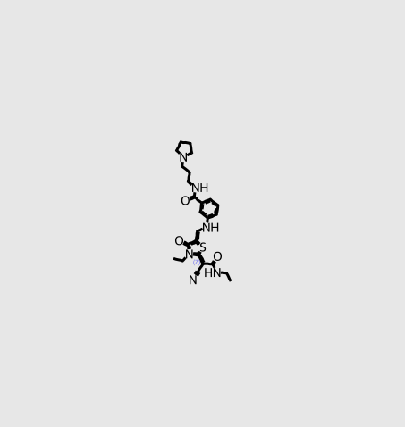 CCNC(=O)/C(C#N)=c1\sc(=CNc2cccc(C(=O)NCCCN3CCCC3)c2)c(=O)n1CC